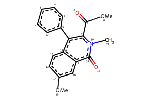 COC(=O)c1c(-c2ccccc2)c2ccc(OC)cc2c(=O)n1C